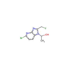 CC(O)n1c(CF)nc2nc(Br)ccc21